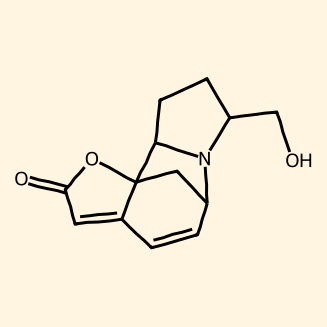 O=C1C=C2C=CC3CC2(O1)C1CCC(CO)N31